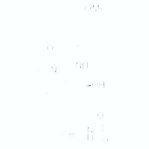 COc1ccc(C(NC[C@@H](O)c2ccc(O)c(NS(C)(=O)=O)c2)C(=O)N2CCCCC2)cc1